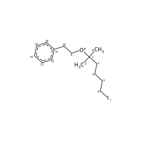 CC(C)(CCCCI)OCCc1ccccc1